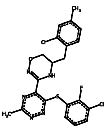 Cc1ccc(CC2CON=C(c3nc(C)nnc3Sc3cccc(Cl)c3F)N2)c(Cl)c1